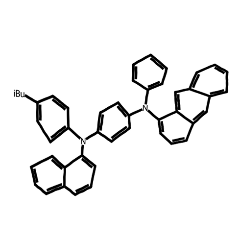 CCC(C)c1ccc(N(c2ccc(N(c3ccccc3)c3cccc4cc5ccccc5cc34)cc2)c2cccc3ccccc23)cc1